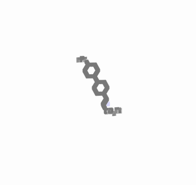 CCCC1CCC(C2CCC(/C=C/C(=O)OCC)CC2)CC1